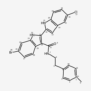 C[n+]1ccc(CCNC(=O)c2c(-c3cc4cc(Cl)ccc4[nH]3)[nH]c3cc(Br)ccc23)cc1